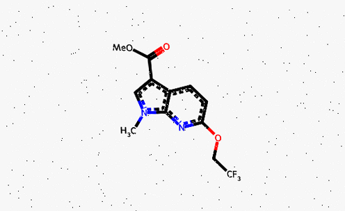 COC(=O)c1cn(C)c2nc(OCC(F)(F)F)ccc12